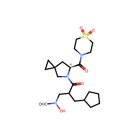 O=CN(O)CC(CC1CCCC1)C(=O)N1CC2(CC2)C[C@H]1C(=O)N1CCS(=O)(=O)CC1